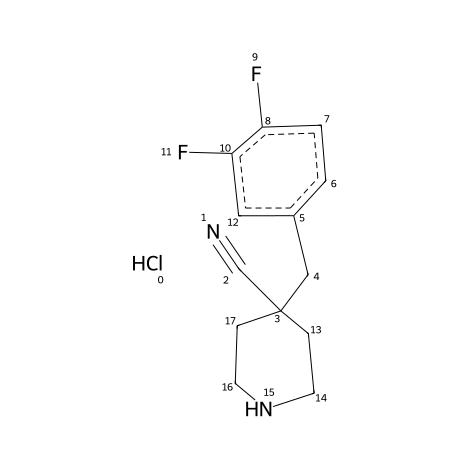 Cl.N#CC1(Cc2ccc(F)c(F)c2)CCNCC1